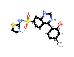 O=S(=O)(Nc1nccs1)c1ccc2c(-c3ccc(C(F)(F)F)cc3O)ncnc2c1